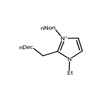 CCCCCCCCCCCc1n(CC)cc[n+]1CCCCCCCCC